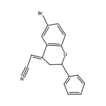 N#C/C=C1\CC(c2ccccc2)Oc2ccc(Br)cc21